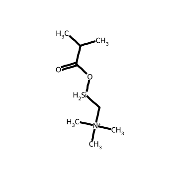 CC(C)C(=O)O[SiH2]C[N+](C)(C)C